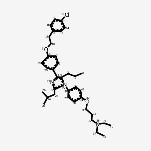 CCCc1c(-c2ccc(OCCc3ccc(Cl)cc3)cc2)nc(CC(C)C)n1-c1ccc(OCCCN(CC)CC)cc1